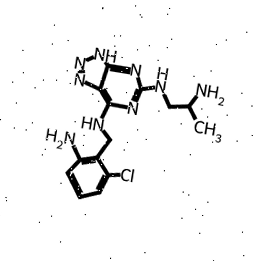 CC(N)CNc1nc(NCc2c(N)cccc2Cl)c2nn[nH]c2n1